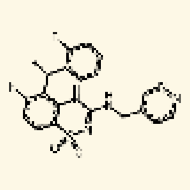 C[C@@H](c1ccccc1F)c1c(F)ccc2c1NC(NCc1ccnnc1)=NS2(=O)=O